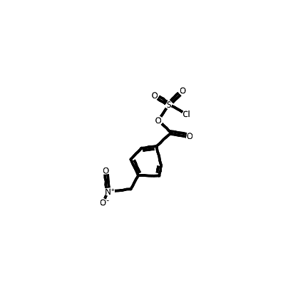 O=C(OS(=O)(=O)Cl)c1ccc(C[N+](=O)[O-])cc1